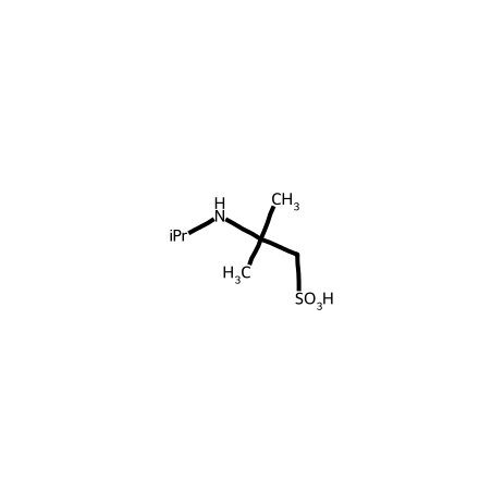 CC(C)NC(C)(C)CS(=O)(=O)O